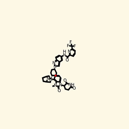 Cn1c(=O)n(C2CCC(=O)NC2=O)c2cccc(N3CC4CCC(C3)N4C[C@H]3CC[C@H](n4cc5cc(NC(=O)c6cccc(C(F)(F)F)n6)ccc5n4)CC3)c21